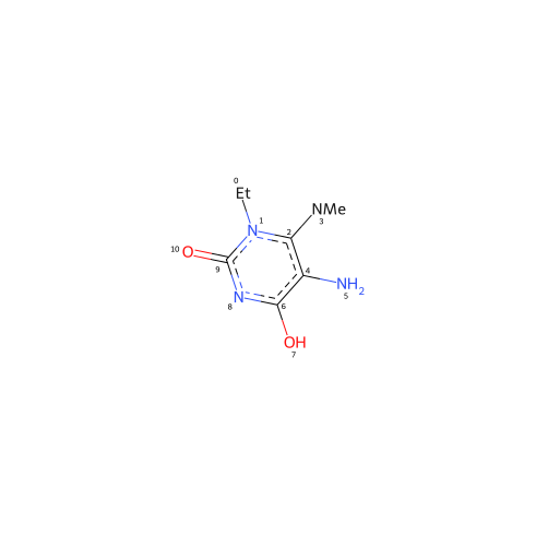 CCn1c(NC)c(N)c(O)nc1=O